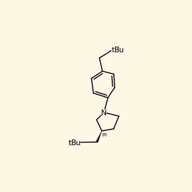 CC(C)(C)Cc1ccc(N2CC[C@@H](CC(C)(C)C)C2)cc1